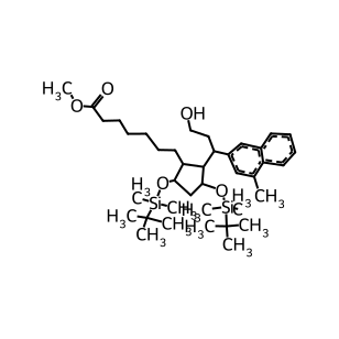 COC(=O)CCCCCCC1C(O[Si](C)(C)C(C)(C)C)CC(O[Si](C)(C)C(C)(C)C)C1C(CCO)c1cc(C)c2ccccc2c1